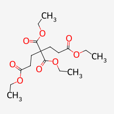 CCOC(=O)CCC(CCC(=O)OCC)(C(=O)OCC)C(=O)OCC